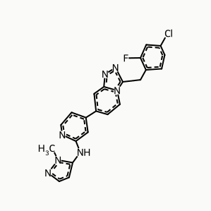 Cn1nccc1Nc1cc(-c2ccn3c(Cc4ccc(Cl)cc4F)nnc3c2)ccn1